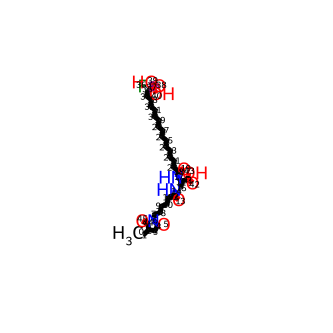 CCC1CC(=O)N(CCCCCC(=O)NCC(NC(=O)CCCCCCCCCCCCCCCC(F)P(=O)(O)O)C(=O)O)C1=O